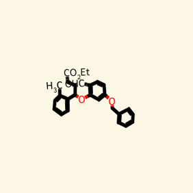 CCOC(=O)CCC(Oc1cc(OCc2ccccc2)ccc1C=O)c1ccccc1C